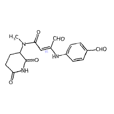 CN(C(=O)/C=C(\C=O)Nc1ccc(C=O)cc1)C1CCC(=O)NC1=O